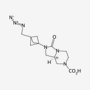 [N-]=[N+]=NCC12CC(N3C[C@@H]4CN(C(=O)O)CCN4C3=O)(C1)C2